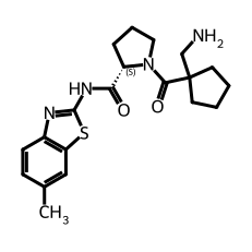 Cc1ccc2nc(NC(=O)[C@@H]3CCCN3C(=O)C3(CN)CCCC3)sc2c1